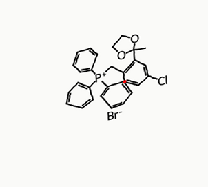 CC1(c2cc(Cl)ccc2C[P+](c2ccccc2)(c2ccccc2)c2ccccc2)OCCO1.[Br-]